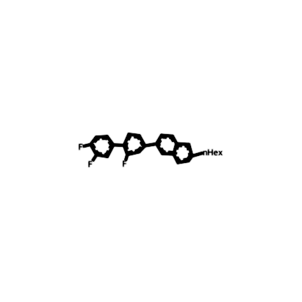 CCCCCCc1ccc2cc(-c3ccc(-c4ccc(F)c(F)c4)c(F)c3)ccc2c1